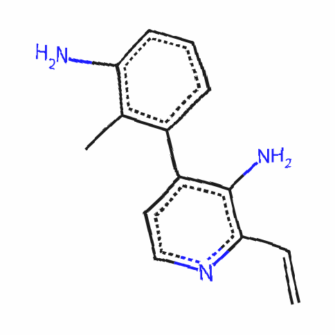 C=Cc1nccc(-c2cccc(N)c2C)c1N